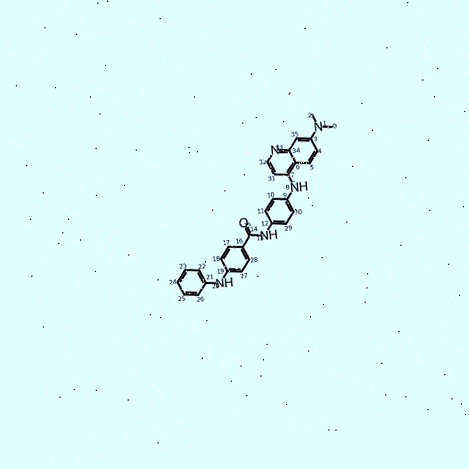 CN(C)c1ccc2c(Nc3ccc(NC(=O)c4ccc(Nc5ccccc5)cc4)cc3)ccnc2c1